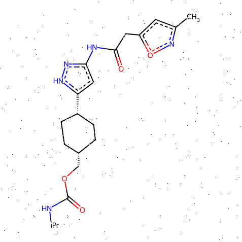 Cc1cc(CC(=O)Nc2cc([C@H]3CC[C@@H](COC(=O)NC(C)C)CC3)[nH]n2)on1